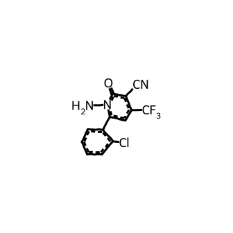 N#Cc1c(C(F)(F)F)cc(-c2ccccc2Cl)n(N)c1=O